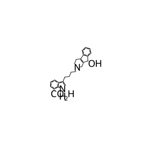 O=C(O)c1cccc2c(CCCCN3CCC4=C(C3)C(O)c3ccccc34)c[nH]c12